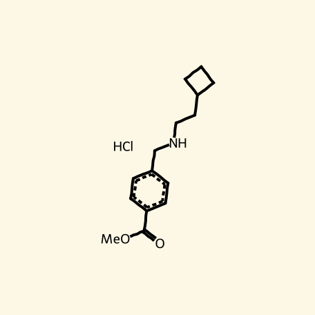 COC(=O)c1ccc(CNCCC2CCC2)cc1.Cl